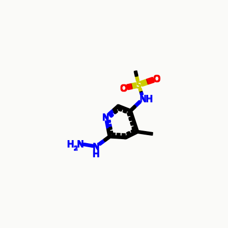 Cc1cc(NN)ncc1NS(C)(=O)=O